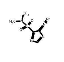 CN(C)S(=O)(=O)C1=NC=NC1=[N+]=[N-]